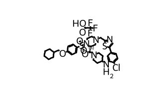 NC1CCN(C(=O)[C@@H]2CN(Cc3ncc(-c4ccc(Cl)cc4)s3)CCN2S(=O)(=O)c2ccc(OCC3CCCCC3)cc2)CC1.O=C(O)C(F)(F)F